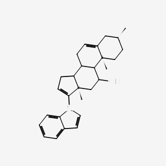 C[C@H]1CC[C@@]2(C)C(=CCC3C2C(O)C[C@]2(C)C(n4ccc5ccccc54)=CCC32)C1